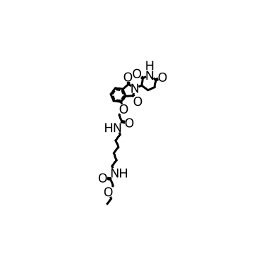 CCOCC(=O)NCCCCCCNC(=O)COc1cccc2c1C(=O)N(C1CCC(=O)NC1=O)C2=O